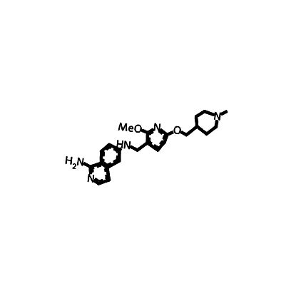 COc1nc(OCC2CCN(C)CC2)ccc1CNc1ccc2c(N)nccc2c1